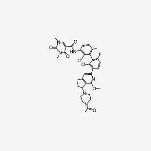 COc1nc(-c2ccc(F)c(-c3c(C)ccc(NC(=O)c4cn(C)c(=O)n(C)c4=O)c3Cl)c2Cl)cc2c1C(N1CCN(C(C)=O)CC1)CC2